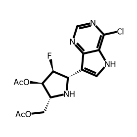 CC(=O)OC[C@H]1N[C@@H](c2c[nH]c3c(Cl)ncnc23)[C@H](F)[C@@H]1OC(C)=O